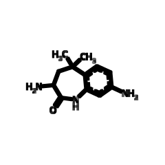 CC1(C)CC(N)C(=O)Nc2cc(N)ccc21